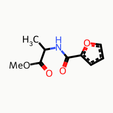 COC(=O)C(C)NC(=O)c1ccco1